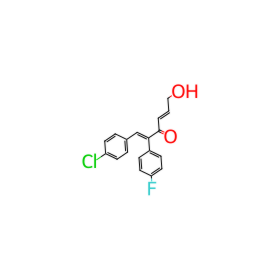 O=C(/C=C/CO)/C(=C/c1ccc(Cl)cc1)c1ccc(F)cc1